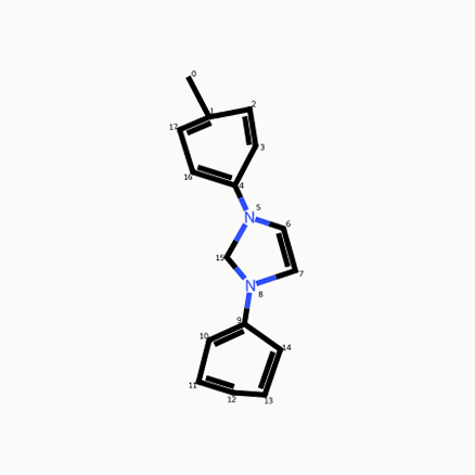 Cc1ccc(N2C=CN(c3ccccc3)C2)cc1